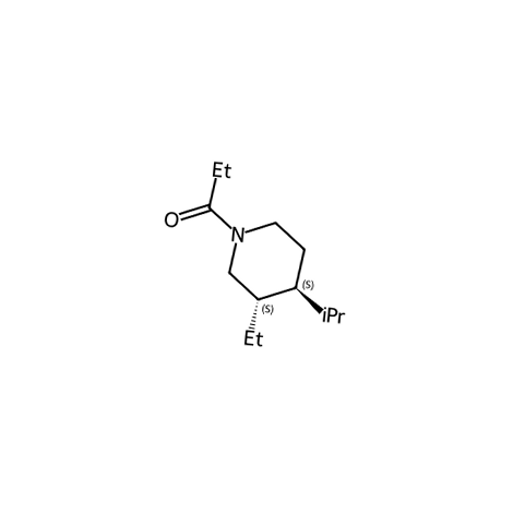 CCC(=O)N1CC[C@@H](C(C)C)[C@H](CC)C1